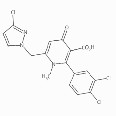 Cn1c(Cn2ccc(Cl)n2)cc(=O)c(C(=O)O)c1-c1ccc(Cl)c(Cl)c1